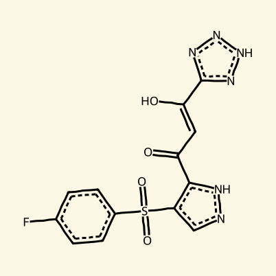 O=C(C=C(O)c1nn[nH]n1)c1[nH]ncc1S(=O)(=O)c1ccc(F)cc1